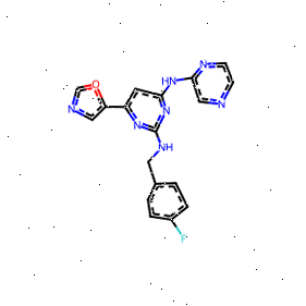 Fc1ccc(CNc2nc(Nc3cnccn3)cc(-c3cnco3)n2)cc1